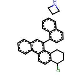 C1CNC1.ClC1CCCc2c1ccc1c2c(-c2cccc3ccccc23)cc2ccccc21